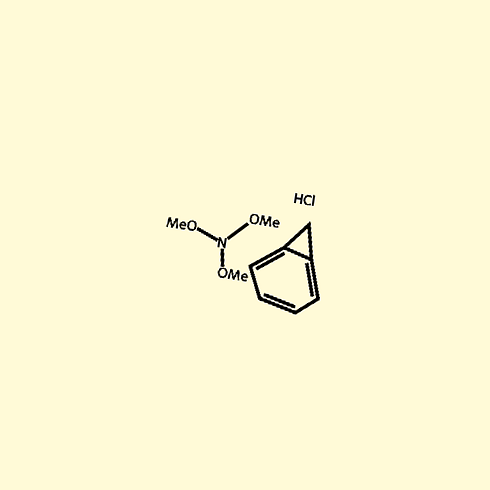 CON(OC)OC.Cl.c1ccc2c(c1)C2